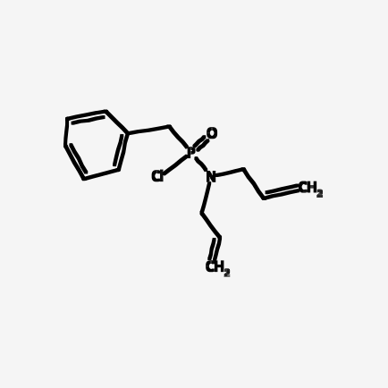 C=CCN(CC=C)P(=O)(Cl)Cc1ccccc1